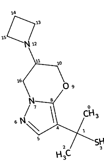 CC(C)(S)c1cnn2c1OCC(N1CCC1)C2